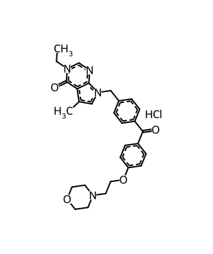 CCn1cnc2c(c(C)cn2Cc2ccc(C(=O)c3ccc(OCCN4CCOCC4)cc3)cc2)c1=O.Cl